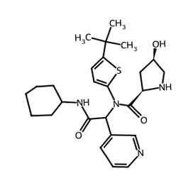 CC(C)(C)c1ccc(N(C(=O)[C@H]2C[C@@H](O)CN2)C(C(=O)NC2CCCCC2)c2cccnc2)s1